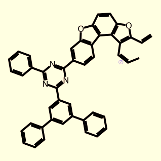 C=Cc1oc2ccc3oc4cc(-c5nc(-c6ccccc6)nc(-c6cc(-c7ccccc7)cc(-c7ccccc7)c6)n5)ccc4c3c2c1/C=C\C